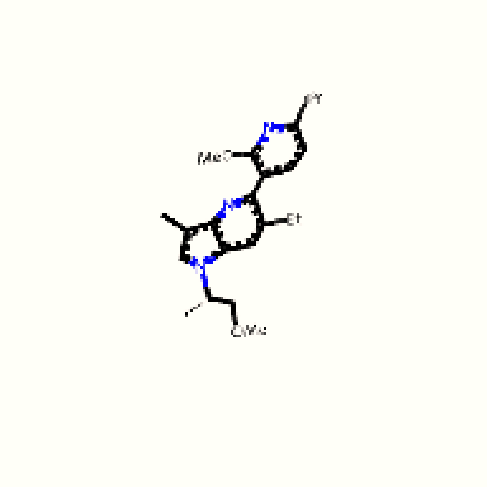 CCc1cc2c(nc1-c1ccc(C(C)C)nc1OC)c(C)cn2[C@@H](C)COC